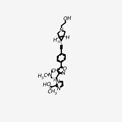 C[C@H](O)c1nccn1[C@H](CN(C)C)c1cc(-c2ccc(C#C[C@@H]3[C@H]4CN(CCO)C[C@@H]34)cc2)on1